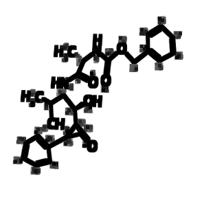 CC(C)[C@H](NC(=O)[C@H](C)NC(=O)OCc1ccccc1)[C@@H](O)C1C(=O)C1c1ccccc1